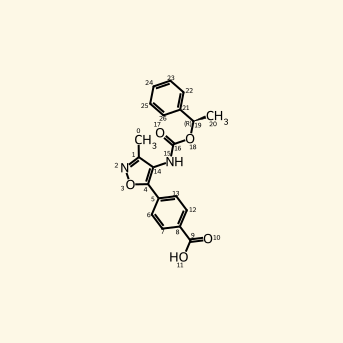 Cc1noc(-c2ccc(C(=O)O)cc2)c1NC(=O)O[C@H](C)c1ccccc1